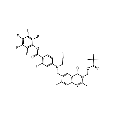 C#CCN(Cc1cc2c(=O)n(COC(=O)C(C)(C)C)c(C)nc2cc1C)c1ccc(C(=O)Oc2c(F)c(F)c(F)c(F)c2F)c(F)c1